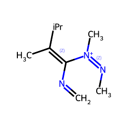 C=NC(=C(\C)C(C)C)/[N+](C)=N\C